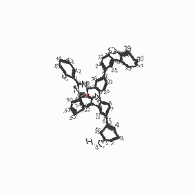 Cc1cccc(-c2ccc3c(c2)c2ccccc2n3-c2ccc(-c3ccc4oc5ccccc5c4c3)cc2-c2nc(-c3ccccc3)nc(-c3ccccc3)n2)c1